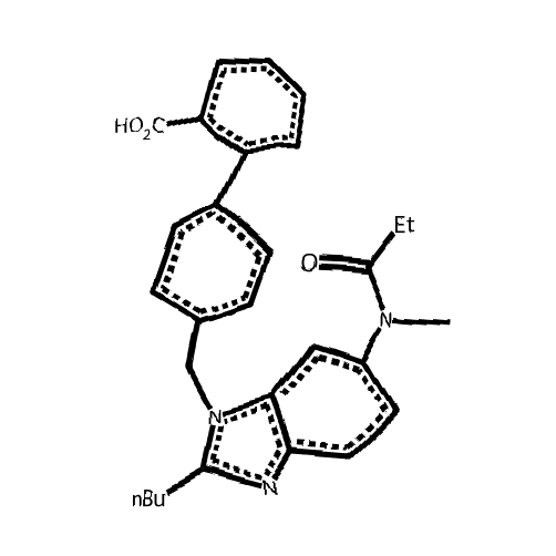 CCCCc1nc2ccc(N(C)C(=O)CC)cc2n1Cc1ccc(-c2ccccc2C(=O)O)cc1